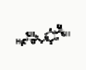 CC(C)OCCN1CCC(C(=O)O)CC1